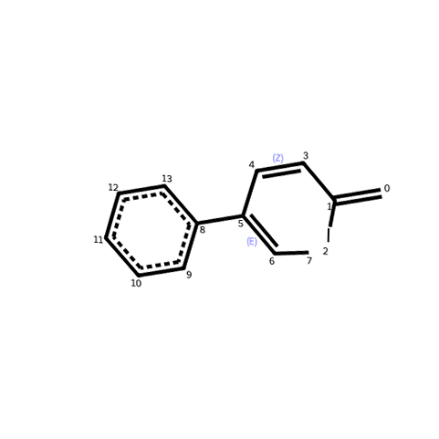 C=C(I)/C=C\C(=C/C)c1ccccc1